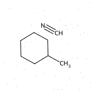 C#N.CC1CCCCC1